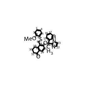 COc1ccccc1SCc1c(O[C@@](C)(c2ccccc2)c2ncc[nH]2)ccc2c1CCCC2=O